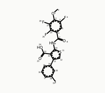 COc1c(F)cc(C(=O)Nc2scc(-c3cccc(I)c3)c2C(=O)O)c(F)c1F